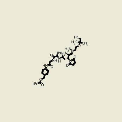 CC(C)C(=O)OCc1ccc(NC(=O)CNC(=O)C(NC(=O)C[C@H](/C(N)=C/N(N)CCOC(C)(C)CO)N2C(=O)C=CC2=O)C(C)C)cc1